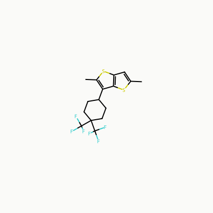 Cc1cc2sc(C)c(C3CCC(C(F)(F)F)(C(F)(F)F)CC3)c2s1